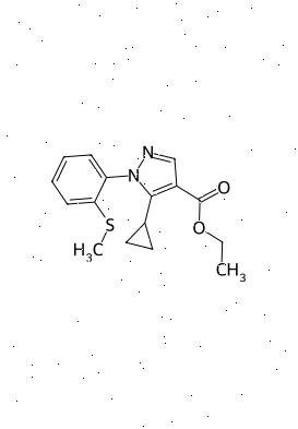 CCOC(=O)c1cnn(-c2ccccc2SC)c1C1CC1